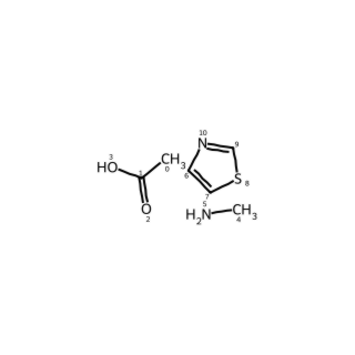 CC(=O)O.CN.c1cscn1